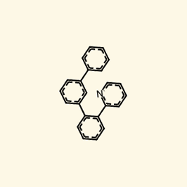 c1ccc(-c2cccc(-c3ccccc3-c3ccccn3)c2)cc1